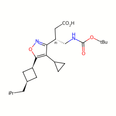 CC(C)C[C@H]1C[C@@H](c2onc([C@@H](CNC(=O)OC(C)(C)C)CC(=O)O)c2C2CC2)C1